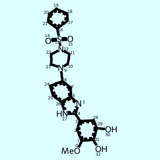 COc1cc(-c2nc3cc(N4CCN(S(=O)(=O)c5ccccc5)CC4)ccc3[nH]2)cc(O)c1O